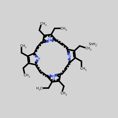 CCC1=C(CC)c2cc3[nH]c(cc4nc(cc5[nH]c(cc1n2)c(CC)c5CC)C(CC)=C4CC)c(CC)c3CC.[SnH2]